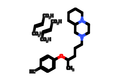 CC(CCCN1CCN2CCCCC2C1)Oc1ccc(C#N)cc1.O=C(O)/C=C/C(=O)O.O=C(O)/C=C/C(=O)O